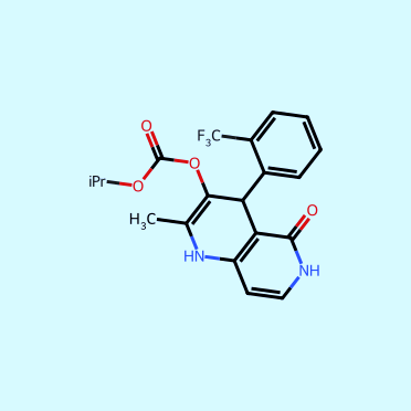 CC1=C(OC(=O)OC(C)C)C(c2ccccc2C(F)(F)F)c2c(cc[nH]c2=O)N1